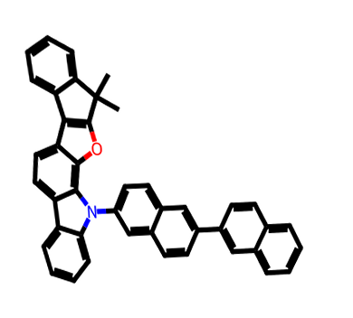 CC1(C)c2ccccc2-c2c1oc1c2ccc2c3ccccc3n(-c3ccc4cc(-c5ccc6ccccc6c5)ccc4c3)c21